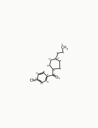 CCCN1CCC(C(=O)c2ccc(Cl)cc2)CC1